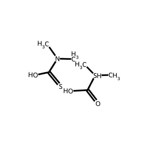 CN(C)C(O)=S.C[SH](C)C(=O)O